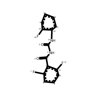 O=C(NC(=O)c1c(F)cccc1F)Nc1ccccc1F